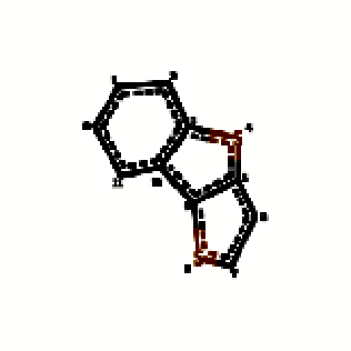 [c]1ccc2sc3c[c]sc3c2c1